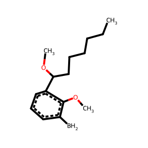 Bc1cccc(C(CCCCCC)OC)c1OC